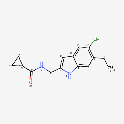 CCc1cc2[nH]c(CNC(=O)C3CC3)cc2cc1Cl